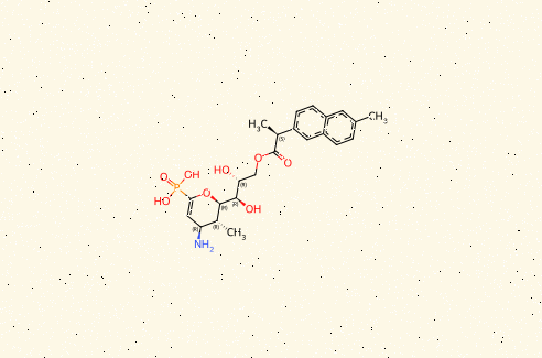 Cc1ccc2cc([C@H](C)C(=O)OC[C@@H](O)[C@@H](O)[C@@H]3OC(P(=O)(O)O)=C[C@H](N)[C@H]3C)ccc2c1